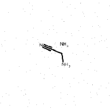 N.N#CCN